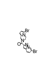 O=C(c1cc2ccc(Br)cn2n1)N1CCn2c(Br)ccc2C1